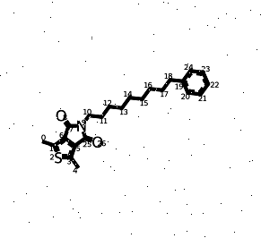 Cc1sc(C)c2c1C(=O)N(CCCCCCCCCc1ccccc1)C2=O